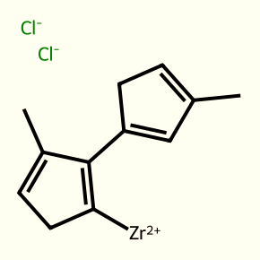 CC1=CCC(C2=[C]([Zr+2])CC=C2C)=C1.[Cl-].[Cl-]